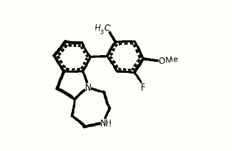 COc1cc(C)c(-c2cccc3c2N2CCNCCC2C3)cc1F